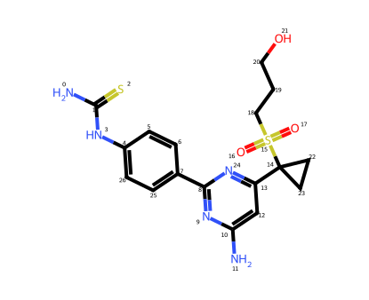 NC(=S)Nc1ccc(-c2nc(N)cc(C3(S(=O)(=O)CCCO)CC3)n2)cc1